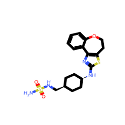 NS(=O)(=O)NC[C@H]1CC[C@H](Nc2nc3c(s2)CCOc2ccccc2-3)CC1